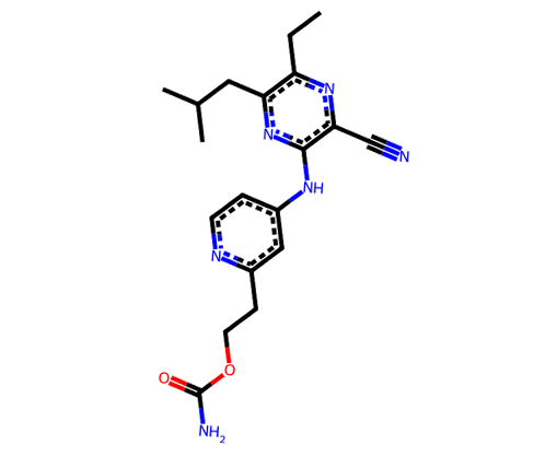 CCc1nc(C#N)c(Nc2ccnc(CCOC(N)=O)c2)nc1CC(C)C